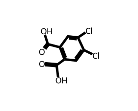 O=C(O)c1cc(Cl)c(Cl)cc1C(=O)O